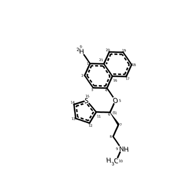 [2H]c1ccc(O[C@@H](CCNC)c2cccs2)c2ccccc12